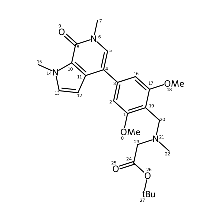 COc1cc(-c2cn(C)c(=O)c3c2ccn3C)cc(OC)c1CN(C)CC(=O)OC(C)(C)C